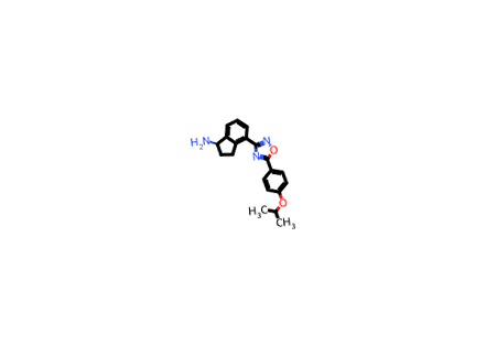 CC(C)Oc1ccc(-c2nc(-c3cccc4c3CC[C@H]4N)no2)cc1